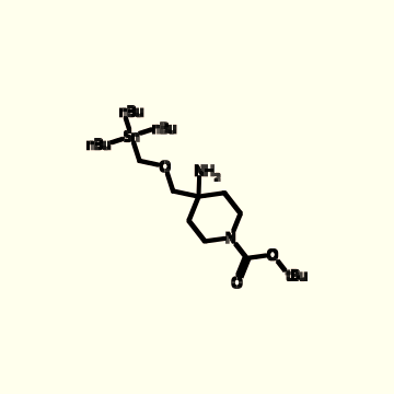 CCC[CH2][Sn]([CH2]CCC)([CH2]CCC)[CH2]OCC1(N)CCN(C(=O)OC(C)(C)C)CC1